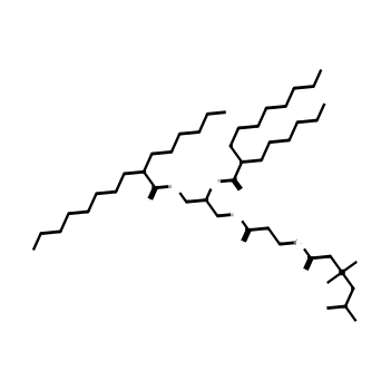 CCCCCCCCC(CCCCCC)C(=O)OCC(COC(=O)CCNC(=O)CC(C)(C)CC(C)C)OC(=O)C(CCCCCC)CCCCCCCC